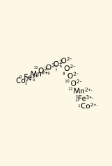 [Co+2].[Co+2].[Fe+3].[Fe+3].[Mn+2].[Mn+2].[O-2].[O-2].[O-2].[O-2].[O-2].[O-2].[O-2]